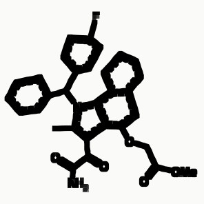 COC(=O)COc1cc2ccccc2c2c1c(C(=O)C(N)=O)c(C)n2C(c1ccccc1)c1ccc(F)cc1